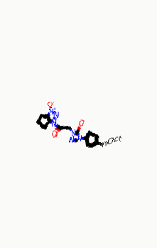 CCCCCCCCc1ccc(-n2cnn(CC(=O)n3n[n+]([O-])c4ccccc43)c2=O)cc1